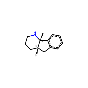 C[C@]12NCCC[C@H]1Cc1ccccc12